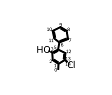 Cc1cc(O)c(-c2ccccc2)cc1Cl